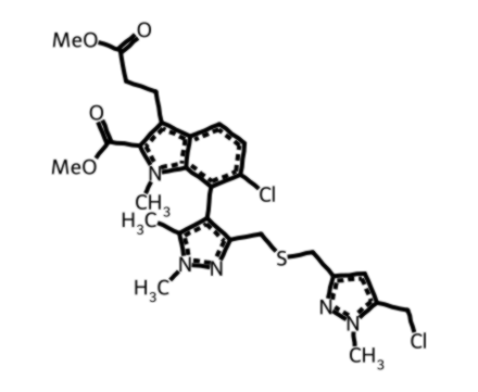 COC(=O)CCc1c(C(=O)OC)n(C)c2c(-c3c(CSCc4cc(CCl)n(C)n4)nn(C)c3C)c(Cl)ccc12